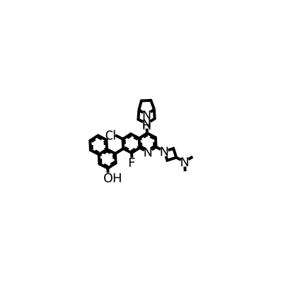 CN(C)C1CN(c2cc(N3CC4CCC(C3)N4)c3cc(Cl)c(-c4cc(O)cc5ccccc45)c(F)c3n2)C1